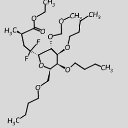 CCCCOC[C@H]1O[C@H](C(F)(F)C[C@@H](C)C(=O)OCC)[C@H](OCOC)[C@@H](OCCCC)[C@H]1OCCCC